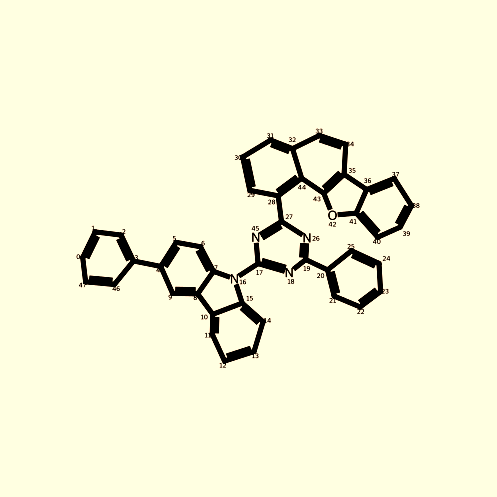 c1ccc(-c2ccc3c(c2)c2ccccc2n3-c2nc(-c3ccccc3)nc(-c3cccc4ccc5c6ccccc6oc5c34)n2)cc1